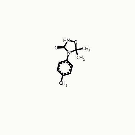 Cc1ccc(N2C(=O)NOC2(C)C)cc1